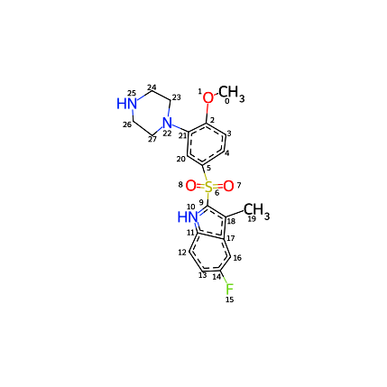 COc1ccc(S(=O)(=O)c2[nH]c3ccc(F)cc3c2C)cc1N1CCNCC1